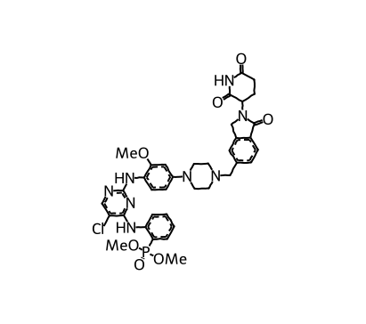 COc1cc(N2CCN(Cc3ccc4c(c3)CN(C3CCC(=O)NC3=O)C4=O)CC2)ccc1Nc1ncc(Cl)c(Nc2ccccc2P(=O)(OC)OC)n1